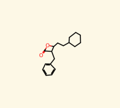 O=C1OC(CCC2CCCCC2)C1Cc1ccccc1